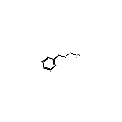 CSOOCc1ccccc1